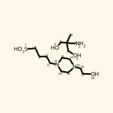 CC(N)(CO)CO.O=S(=O)(O)CCCCN1CCN(CCO)CC1